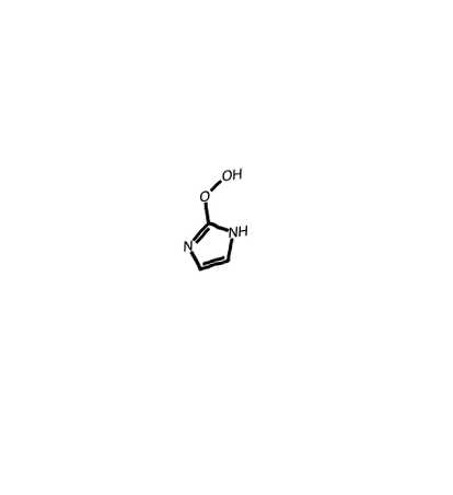 OOc1ncc[nH]1